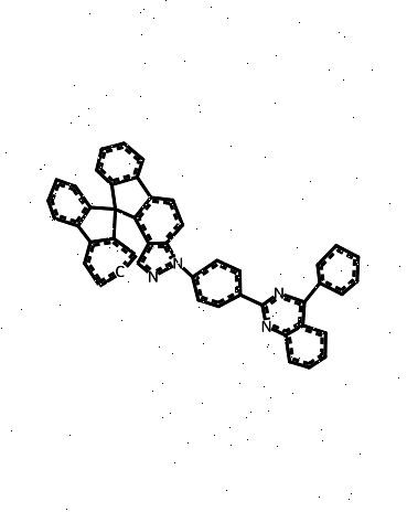 c1ccc(-c2nc(-c3ccc(-n4ncc5c6c(ccc54)-c4ccccc4C64c5ccccc5-c5ccccc54)cc3)nc3ccccc23)cc1